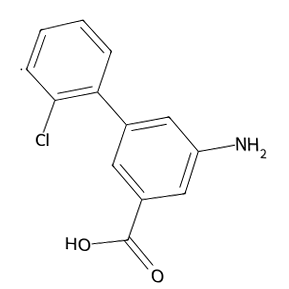 Nc1cc(C(=O)O)cc(-c2ccc[c]c2Cl)c1